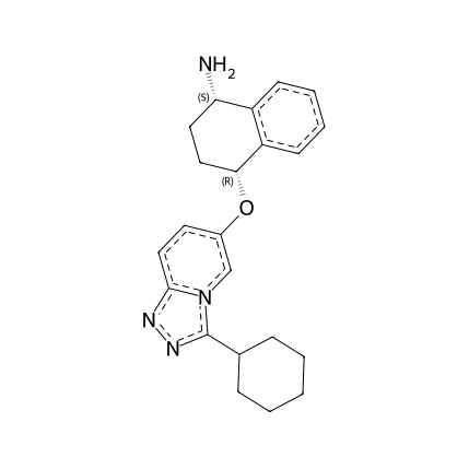 N[C@H]1CC[C@@H](Oc2ccc3nnc(C4CCCCC4)n3c2)c2ccccc21